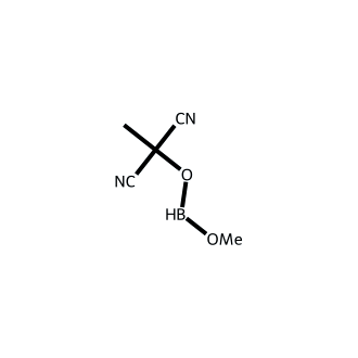 COBOC(C)(C#N)C#N